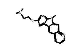 CN(C)CCOc1ccc2c(c1)c1cc3cccnc3cc1n2C